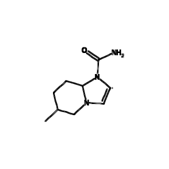 CC1CCC2N(C=[C]N2C(N)=O)C1